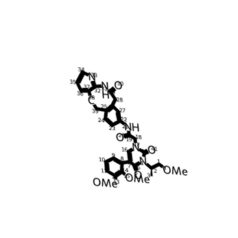 COC[C@@H](C)n1c(=O)c(-c2cccc(OC)c2OC)cn(CC(=O)Nc2ccc3c(c2)CC(=O)Nc2ncccc2CC3)c1=O